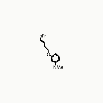 CCCC=CCCOc1cccc(NC)c1